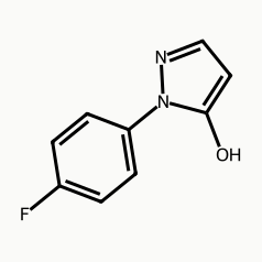 Oc1ccnn1-c1ccc(F)cc1